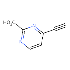 C#Cc1ccnc(C(=O)O)n1